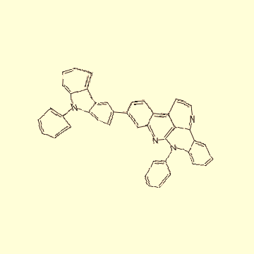 c1ccc(N2c3ccccc3-c3nccc4c3c2nc2cc(-c3ccc5c(c3)c3ccccc3n5-c3ccccc3)ccc24)cc1